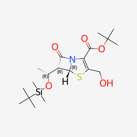 C[C@@H](O[Si](C)(C)C(C)(C)C)[C@@H]1C(=O)N2C(C(=O)OC(C)(C)C)=C(CO)S[C@H]12